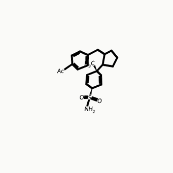 CC(=O)c1ccc(CC2CCCC2[C@]2(C)C=C[C@@H](S(N)(=O)=O)C=C2)cc1